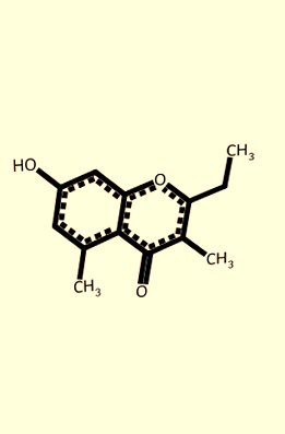 CCc1oc2cc(O)cc(C)c2c(=O)c1C